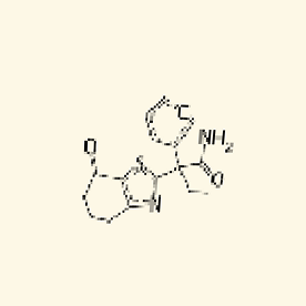 CCC(C(N)=O)(c1ccccc1)c1nc2c(s1)C(=O)CCC2